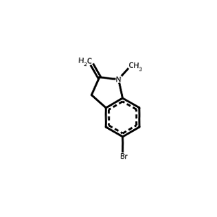 C=C1Cc2cc(Br)ccc2N1C